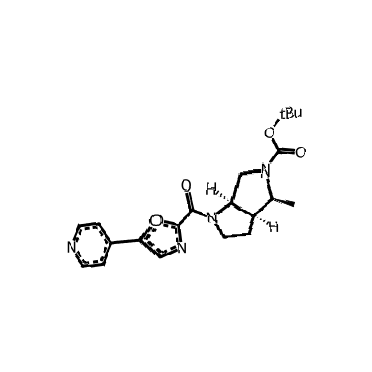 C[C@H]1[C@H]2CCN(C(=O)c3ncc(-c4ccncc4)o3)[C@H]2CN1C(=O)OC(C)(C)C